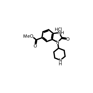 COC(=O)c1ccc2[nH]c(=O)n(C3CCNCC3)c2c1.Cl